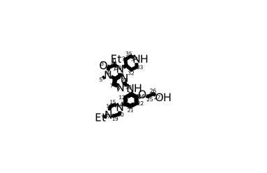 CC[C@@H]1C(=O)N(C)c2cnc(Nc3cc(N4CCN(CC)CC4)ccc3OCCO)nc2N1C1CCNCC1